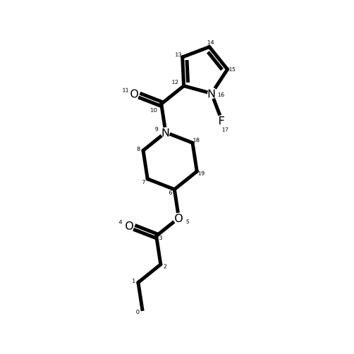 CCCC(=O)OC1CCN(C(=O)c2cccn2F)CC1